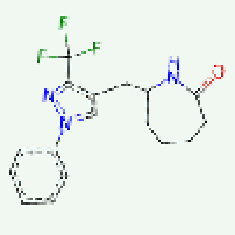 O=C1CCCCC(Cc2cn(-c3ccccc3)nc2C(F)(F)F)N1